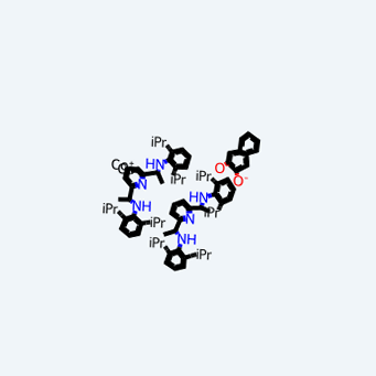 CC(C)c1cccc(C(C)C)c1NC(C)c1cccc(C(C)Nc2c(C(C)C)cccc2C(C)C)n1.CC(C)c1cccc(C(C)C)c1NC(C)c1cccc(C(C)Nc2c(C(C)C)cccc2C(C)C)n1.[Co+].[Co+].[O-]c1cc2ccccc2cc1[O-]